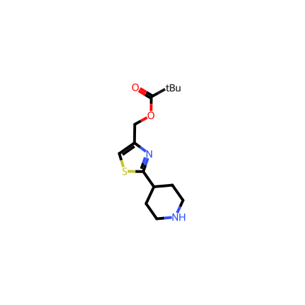 CC(C)(C)C(=O)OCc1csc(C2CCNCC2)n1